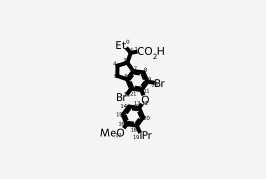 CCC(C(=O)O)C1CCc2c1cc(Br)c(Oc1ccc(OC)c(C(C)C)c1)c2Br